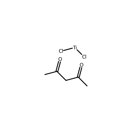 CC(=O)CC(C)=O.[Cl][Ti][Cl]